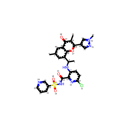 Cc1cc(C(C)Nc2ccc(Cl)nc2C(=O)NS(=O)(=O)c2cccnc2)c2oc(-c3cnn(C)c3)c(C)c(=O)c2c1